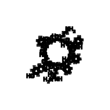 C[C@@H](O)[C@@H]1NC(=O)[C@H](CCCCN)NC(=O)[C@@H](Cc2c[nH]c3ccccc23)NC(=O)[C@H](Cc2ccccc2)NC(=O)[C@H](Cc2ccccc2)NC(=O)[C@H](CCCNC(=N)N)NC(=O)[C@H](NC(=O)[C@@H](N)Cc2ccc(O)cc2)CCNC(=O)[C@H](Cc2ccccc2)NC1=O